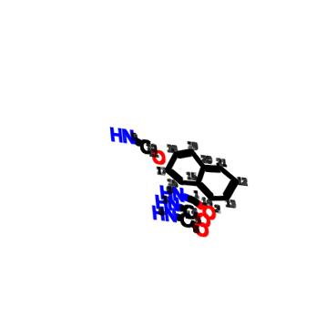 N=C=O.N=C=O.N=C=O.N=C=O.c1ccc2ccccc2c1